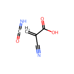 C=C(C#N)C(=O)O.N=C=O